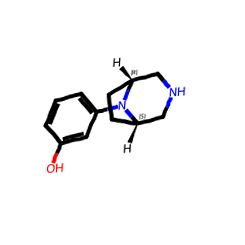 Oc1cccc(N2[C@@H]3CC[C@H]2CNC3)c1